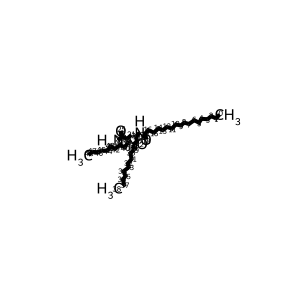 CCCCCCCCCCCCCCCCCC(=O)N[C@@H](CCC(N)=O)C(=O)N(CCCCCCCCCC)CCCCCCCCCC